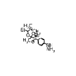 CCC(OC(C)(C)S(=O)(=O)c1ccc(NN)cc1)N(C)C